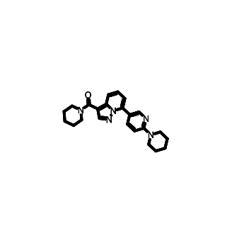 O=C(c1cnn2c(-c3ccc(N4CCCCC4)nc3)cccc12)N1CCCCC1